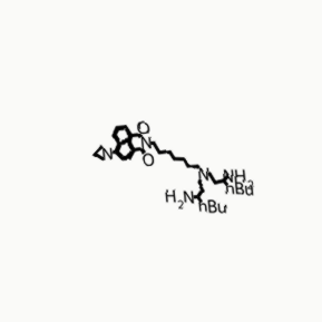 CCCCC(N)CCN(CCCCCCCN1C(=O)c2cccc3c(N4CCC4)ccc(c23)C1=O)CCC(N)CCCC